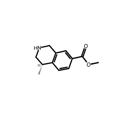 COC(=O)c1ccc2c(c1)CNC[C@H]2C